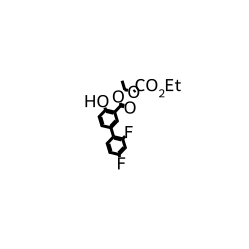 CCOC(=O)OC(C)OC(=O)c1cc(-c2ccc(F)cc2F)ccc1O